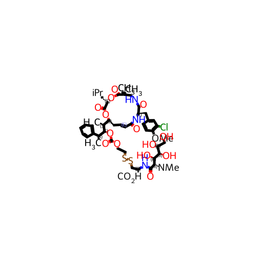 CN[C@H](C(=O)N[C@H](CSSCCOC(=O)O[C@H]([C@@H](C)[C@@H]1C/C=C/C(=O)N[C@H](Cc2ccc(OC)c(Cl)c2)C(=O)NCC(C)(C)C(=O)O[C@@H](CC(C)C)C(=O)O1)[C@@H](C)c1ccccc1)C(=O)O)[C@@H](O)[C@H](O)[C@H](O)CO